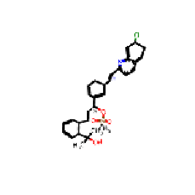 CC(C)(O)C1C=CC=CC1CC[C@H](OS(C)(=O)=O)C1=CC(/C=C/c2ccc3c(n2)=CC(Cl)CC=3)CC=C1